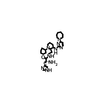 N[C@H](Cc1c[nH]cn1)C(=O)NCCC1C(Nc2nccc(N3CCCCCC3)n2)CCCN1C1CCCCC1